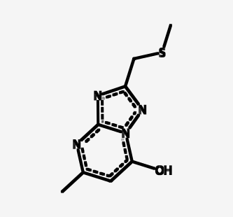 CSCc1nc2nc(C)cc(O)n2n1